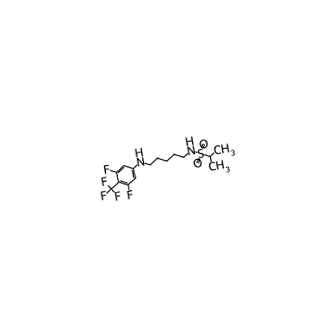 CC(C)S(=O)(=O)NCCCCCNc1cc(F)c(C(F)(F)F)c(F)c1